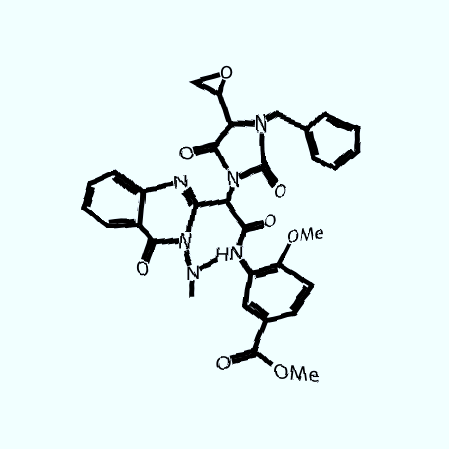 COC(=O)c1ccc(OC)c(NC(=O)C(c2nc3ccccc3c(=O)n2N(C)C)N2C(=O)C(C3CO3)N(Cc3ccccc3)C2=O)c1